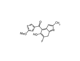 COc1cc(C(=O)C2=C3[C]=C(C)N=C3CC(F)=C2O)cs1